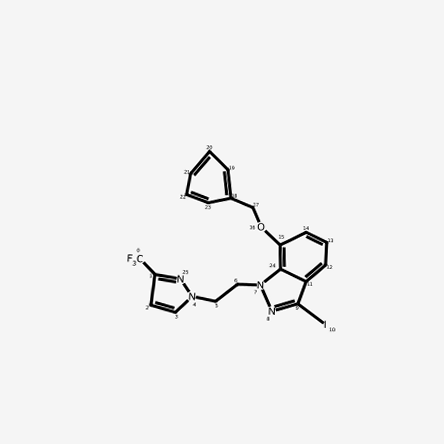 FC(F)(F)c1ccn(CCn2nc(I)c3cccc(OCc4ccccc4)c32)n1